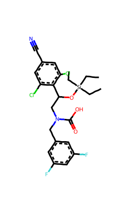 CC[Si](CC)(CC)OC(CN(Cc1cc(F)cc(F)c1)C(=O)O)c1c(Cl)cc(C#N)cc1Cl